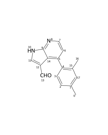 Cc1ccc(-c2ccnc3[nH]cc(C=O)c23)c(C)c1